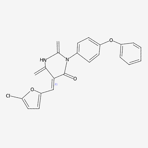 C=C1NC(=C)N(c2ccc(Oc3ccccc3)cc2)C(=O)/C1=C/c1ccc(Cl)o1